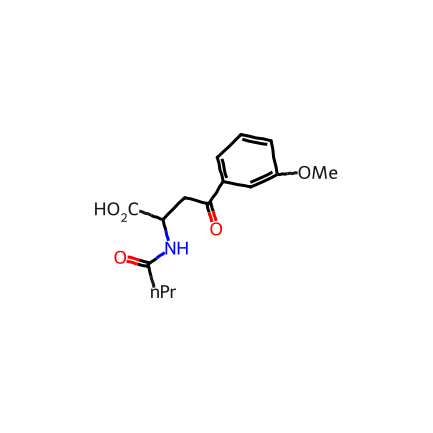 CCCC(=O)NC(CC(=O)c1cccc(OC)c1)C(=O)O